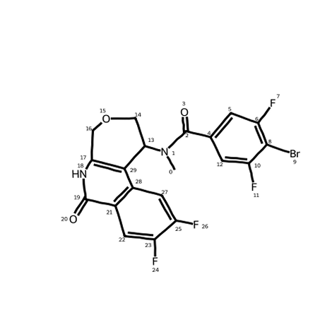 CN(C(=O)c1cc(F)c(Br)c(F)c1)C1COCc2[nH]c(=O)c3cc(F)c(F)cc3c21